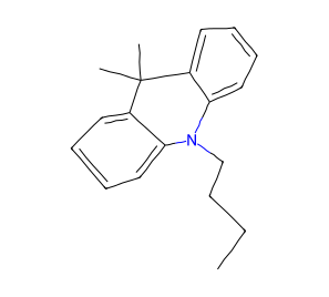 CCCCN1c2ccccc2C(C)(C)c2ccccc21